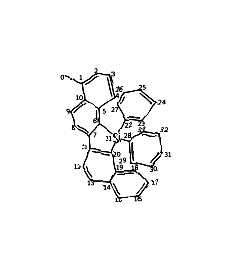 Cc1cccc2c3c(ccc12)-c1ccc2ccccc2c1[Si]3(c1ccccc1)c1ccccc1